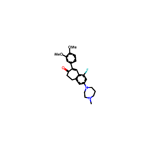 COc1ccc(C2=Cc3c(F)cc(N4CCCN(C)CC4)cc3CCC2=O)cc1OC